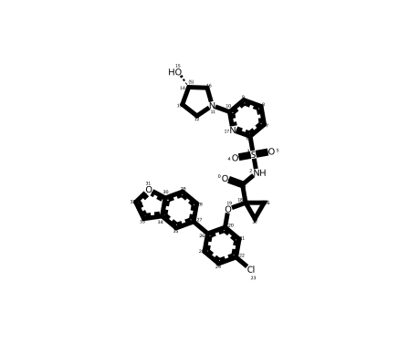 O=C(NS(=O)(=O)c1cccc(N2CC[C@H](O)C2)n1)C1(Oc2cc(Cl)ccc2-c2ccc3occc3c2)CC1